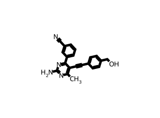 Cc1nc(N)nc(-c2cccc(C#N)c2)c1C#Cc1ccc(CO)cc1